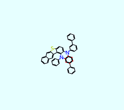 c1ccc(-c2cccc(N(c3ccccc3)c3ccc4sc5cc6ccccc6cc5c4c3N(c3ccccc3)c3cccc(-c4ccccc4)c3)c2)cc1